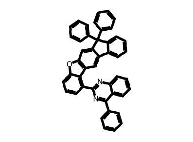 c1ccc(-c2nc(-c3cccc4oc5cc6c(cc5c34)-c3ccccc3C6(c3ccccc3)c3ccccc3)nc3ccccc23)cc1